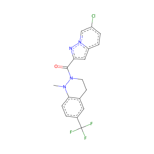 CN1c2ccc(C(F)(F)F)cc2CCN1C(=O)c1cc2ccc(Cl)cn2n1